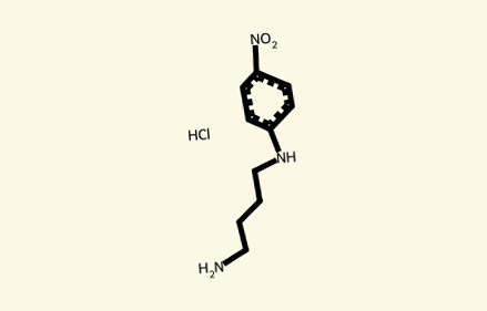 Cl.NCCCCNc1ccc([N+](=O)[O-])cc1